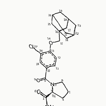 O=C(O)[C@@H]1CCCN1C(=O)c1ccc(OCC23CC4CC(CC(C4)C2)C3)c(Cl)c1